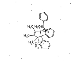 CC1=C(C)C(C)(C)C(c2ccccc2C)(c2ccccc2Nc2ccccc2)C1(C)C